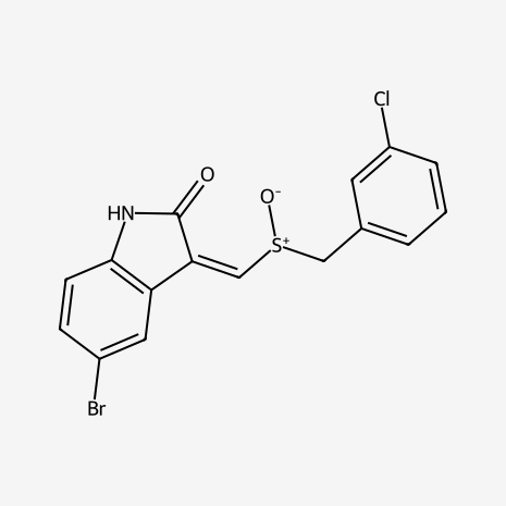 O=C1Nc2ccc(Br)cc2C1=C[S+]([O-])Cc1cccc(Cl)c1